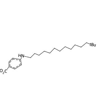 CCOC(=O)c1ccc(NCCCCCCCCCCCCC(C)(C)C)cc1